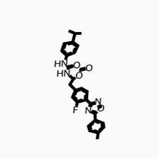 Cc1ccc(-c2nc(-c3ccc(CC(NC(=O)Nc4ccc(C(C)C)cc4)OC=O)cc3F)no2)cc1